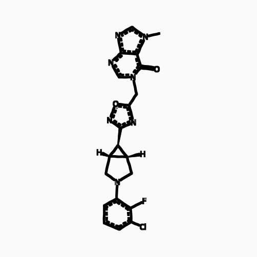 Cn1cnc2ncn(Cc3nc([C@H]4[C@@H]5CN(c6cccc(Cl)c6F)C[C@@H]54)no3)c(=O)c21